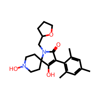 Cc1cc(C)c(C2=C(O)C3(CCN(O)CC3)N(CC3CCCO3)C2=O)c(C)c1